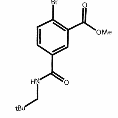 COC(=O)c1cc(C(=O)NCC(C)(C)C)ccc1Br